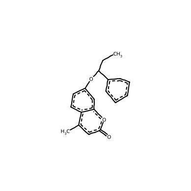 CCC(Oc1ccc2c(C)cc(=O)oc2c1)c1ccccc1